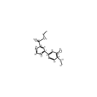 CCOC(=O)c1cc(-c2ccc(SC)c(Cl)c2)ncn1